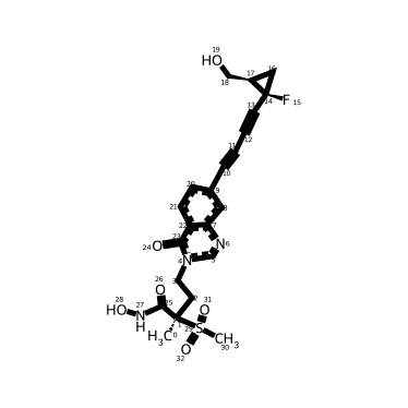 C[C@@](CCn1cnc2cc(C#CC#C[C@@]3(F)C[C@@H]3CO)ccc2c1=O)(C(=O)NO)S(C)(=O)=O